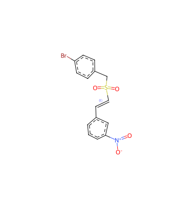 O=[N+]([O-])c1cccc(/C=C/S(=O)(=O)Cc2ccc(Br)cc2)c1